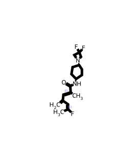 C=C(/C=C(\C)F)/C=C(\C)C(=O)N[C@H]1CC[C@H](N2CC(F)(F)C2)CC1